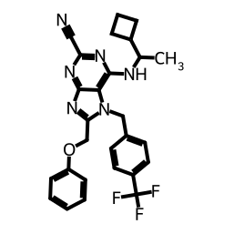 CC(Nc1nc(C#N)nc2nc(COc3ccccc3)n(Cc3ccc(C(F)(F)F)cc3)c12)C1CCC1